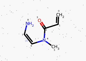 C=CC(=O)N(C)/C=C\N